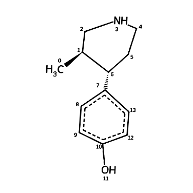 C[C@H]1CNCC[C@@H]1c1ccc(O)cc1